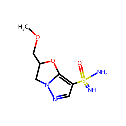 COCC1Cn2ncc(S(=N)(N)=O)c2O1